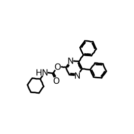 O=C(NC1CCCCC1)Oc1cnc(-c2ccccc2)c(-c2ccccc2)n1